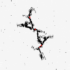 C=CC(=O)OC/C=C/CCC(C=C)C/C=C\COC(=O)CCN(CCCN(CCO)CCO)CCC(=O)OC/C=C/CCC(C=C)C/C=C\COC(=O)CCN(CCCN(CCO)CCO)CCC(=O)OC/C=C/CCC(C=C)C/C=C\CCOC(=O)C=C